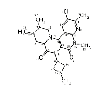 Cc1nc2c(cc1Cl)c1c(c(=O)n2C)N(C2CN(C)C2)C(=O)C2CN(C)C(C)CN12